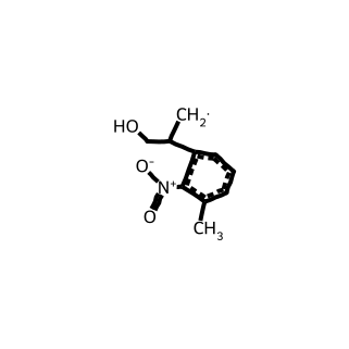 [CH2]C(CO)c1cccc(C)c1[N+](=O)[O-]